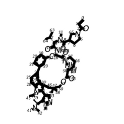 C=CC(=O)N1CCC(C(=O)N(C)[C@H](C(=O)N[C@H]2Cc3cccc(c3)-c3ccc4c(c3)c(c(-c3cnn(C)c3[C@H](C)N(C)C)n4CC)CC(C)(C)COC(=O)[C@@H]3CCCN(N3)C2=O)C(C)C)C1